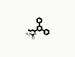 C=C/C=C(\N=C(/N)Cl)c1cc(-c2ccccc2)cc(-c2ccccc2)c1